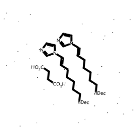 CCCCCCCCCCCCCCCC=Cn1ccnc1.CCCCCCCCCCCCCCCC=Cn1ccnc1.O=C(O)CCC(=O)O